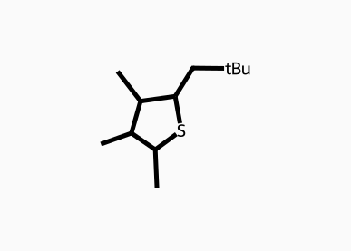 CC1SC(CC(C)(C)C)C(C)C1C